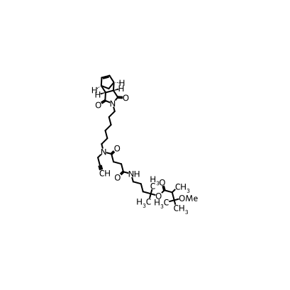 C#CCN(CCCCCCN1C(=O)[C@@H]2[C@H](C1=O)[C@H]1C=C[C@@H]2C1)C(=O)CCC(=O)NCCCC(C)(C)OC(=O)C(C)C(C)(C)OC